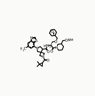 COCC1CCCN(C(=O)[C@H](COCC23CCC(CC2)OC3)NC(=O)C2CN(c3cc(C(F)(F)F)cc4ncsc34)CC23CN(C(=O)C2CC2(C)C)C3)C1